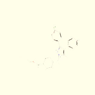 Cc1c(-c2ccccc2)c(-c2ccc(Cl)cc2)nn1C[C@H]1CC[C@H](COCC(=O)O)CC1